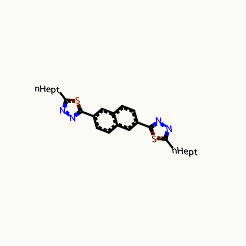 CCCCCCCc1nnc(-c2ccc3cc(-c4nnc(CCCCCCC)s4)ccc3c2)s1